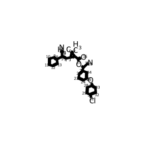 CC1(C)C(C=C(C#N)c2ccccc2)C1C(=O)OC(C#N)c1cccc(Oc2ccc(Cl)cc2)c1